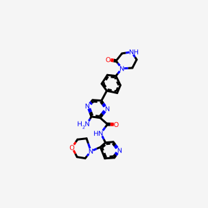 Nc1ncc(-c2ccc(N3CCNCC3=O)cc2)nc1C(=O)Nc1cnccc1N1CCOCC1